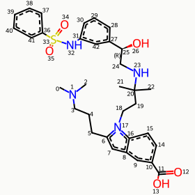 CN(C)CCCc1cc2cc(C(=O)O)ccc2n1CCC(C)(C)NC[C@H](O)c1cccc(NS(=O)(=O)c2ccccc2)c1